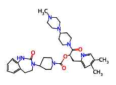 Cc1cnc(C[C@@H](OC(=O)N2CCC(N3CCc4ccccc4NC3=O)CC2)C(=O)N2CCC(N3CCN(C)CC3)CC2)cc1C